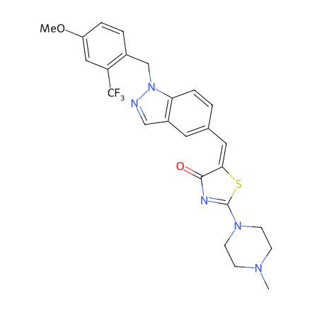 COc1ccc(Cn2ncc3cc(C=C4SC(N5CCN(C)CC5)=NC4=O)ccc32)c(C(F)(F)F)c1